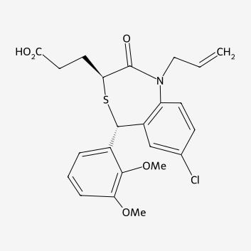 C=CCN1C(=O)[C@H](CCC(=O)O)S[C@@H](c2cccc(OC)c2OC)c2cc(Cl)ccc21